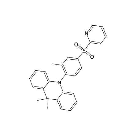 Cc1cc(S(=O)(=O)c2ccccn2)ccc1N1c2ccccc2C(C)(C)c2ccccc21